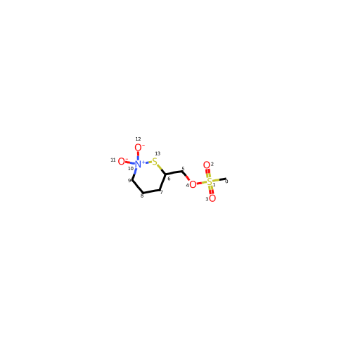 CS(=O)(=O)OCC1CCC[N+]([O-])([O-])S1